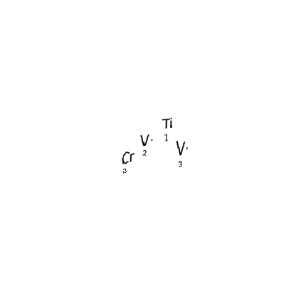 [Cr].[Ti].[V].[V]